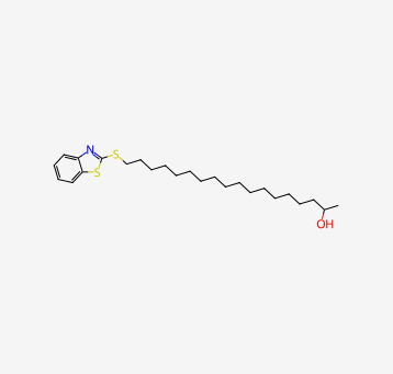 CC(O)CCCCCCCCCCCCCCCCSc1nc2ccccc2s1